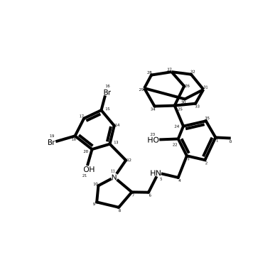 Cc1cc(CNCC2CCCN2Cc2cc(Br)cc(Br)c2O)c(O)c(C23CC4CC(CC(C4)C2)C3)c1